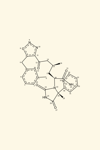 Cc1cccc(Cc2onnc2C(=O)C[C@@H](C)C[C@@H](C(N)=O)N2C(=O)NC(=O)[C@@]2(C)c2ccccn2)c1